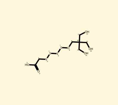 O=C(O)CSSSSOCC(CO)(CO)CO